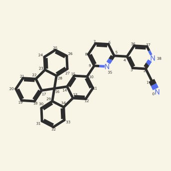 N#Cc1cc(-c2cccc(-c3ccc4c(c3)C3(c5ccccc5-c5ccccc53)c3ccccc3-4)n2)ccn1